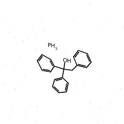 OC(Cc1ccccc1)(c1ccccc1)c1ccccc1.P